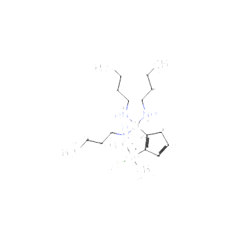 CCCC[NH][Zr]([NH]CCCC)([NH]CCCC)[C]1=[C]([Ge]([CH3])([CH3])[F])C=CC1